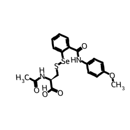 COc1ccc(NC(=O)c2ccccc2[Se]SC[C@H](NC(C)=O)C(=O)O)cc1